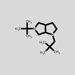 CC(C)(C)CN1CCC2CN(C(C)(C)C)CC21